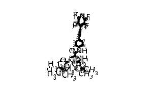 CC(C)(C)OC(=O)NCC(NC(=O)OC(C)(C)C)C(=O)Nc1ccc(C#Cc2c(F)c(F)nc(F)c2F)cc1